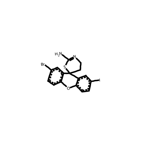 NC1=NCCC2(S1)c1cc(Br)ccc1Oc1ccc(I)cc12